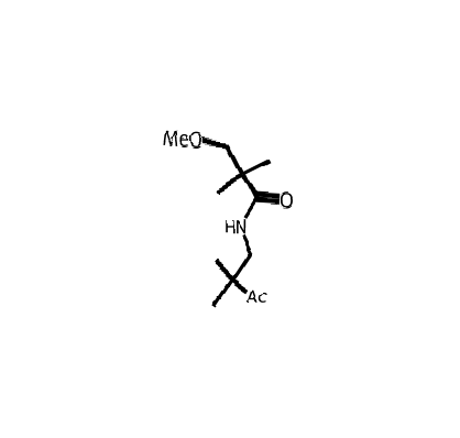 COCC(C)(C)C(=O)NCC(C)(C)C(C)=O